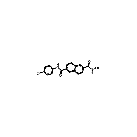 O=C(NO)c1ccc2cc(C(=O)Nc3ccc(Cl)cc3)ccc2c1